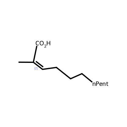 CCCCCCCC/C=C(/C)C(=O)O